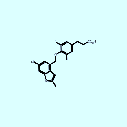 Cc1cc2c(COc3c(F)cc(CCC(=O)O)cc3F)cc(Cl)cc2s1